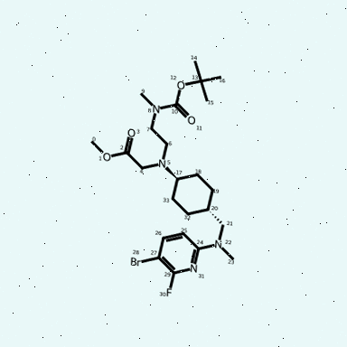 COC(=O)CN(CCN(C)C(=O)OC(C)(C)C)[C@H]1CC[C@H](CN(C)c2ccc(Br)c(F)n2)CC1